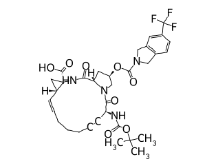 CC(C)(C)OC(=O)N[C@H]1CCCCC/C=C\[C@@H]2C[C@@]2(C(=O)O)NC(=O)[C@@H]2C[C@@H](OC(=O)N3Cc4ccc(C(F)(F)F)cc4C3)CN2C1=O